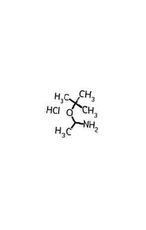 CC(N)OC(C)(C)C.Cl